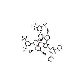 N#Cc1ccc(-c2cc(-c3nc(-c4ccccc4)nc(-c4ccccc4)n3)cc(-c3ccc(C#N)cc3C#N)c2-n2c3ccc(-c4cc(C(F)(F)F)cc(C(F)(F)F)c4)cc3c3cc(-c4cc(C(F)(F)F)cc(C(F)(F)F)c4)ccc32)c(C#N)c1